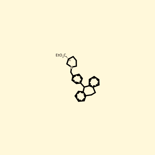 CCOC(=O)[C@@H]1CCCN(Cc2ccc(C3c4ccccc4CCc4ccccc43)cc2)C1